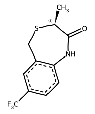 C[C@@H]1SCc2cc(C(F)(F)F)ccc2NC1=O